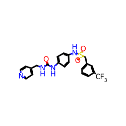 O=C(NCc1ccncc1)Nc1ccc(NS(=O)(=O)Cc2cccc(C(F)(F)F)c2)cc1